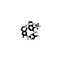 Cc1cc2c(cc1Nc1ncc(Br)c(Nc3ccc4nccnc4c3N(C)S(C)(=O)=O)n1)CN(C)CC2